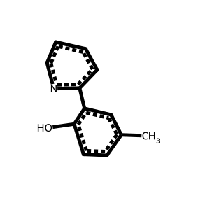 Cc1ccc(O)c(-c2ccccn2)c1